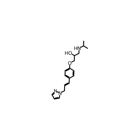 CC(C)NCC(O)COc1ccc(/C=C/Cn2cccn2)cc1